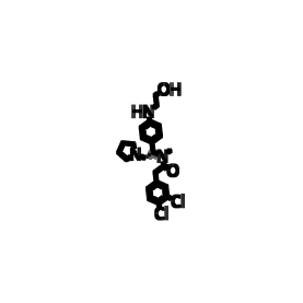 CN(C(=O)Cc1ccc(Cl)c(Cl)c1)[C@H](CN1CCCC1)c1ccc(NCCO)cc1